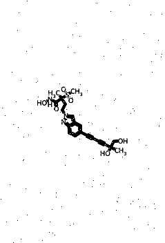 CC(O)(C#CC#Cc1ccc2nn(CCC(C)(C(=O)NO)S(C)(=O)=O)cc2c1)CO